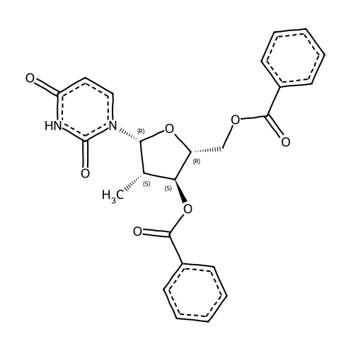 C[C@H]1[C@H](OC(=O)c2ccccc2)[C@@H](COC(=O)c2ccccc2)O[C@H]1n1ccc(=O)[nH]c1=O